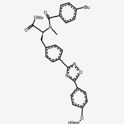 CCCCCCCOc1ccc(-c2nc(-c3ccc(C[C@@H](C(=O)OC)N(C)C(=O)c4ccc(C(C)(C)C)cc4)cc3)no2)cc1